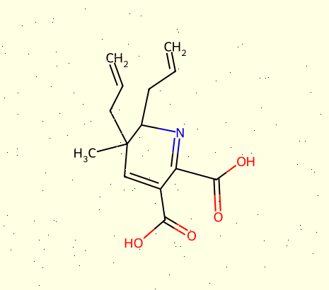 C=CCC1N=C(C(=O)O)C(C(=O)O)=CC1(C)CC=C